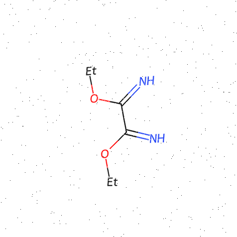 CCOC(=N)C(=N)OCC